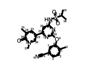 Cc1ccc(C#N)cc1Oc1nc(NS(=O)(=O)C(C)C)cc(-c2cc(C)c(=O)n(C)c2)n1